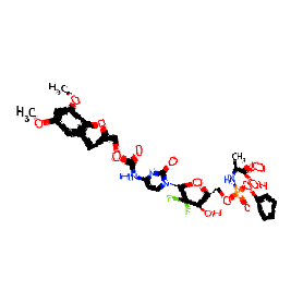 COc1cc(OC)c2oc(COC(=O)Nc3ccn([C@@H]4O[C@H](COP(=O)(NC(C)C(=O)O)Oc5ccccc5)[C@@H](O)C4(F)F)c(=O)n3)cc2c1